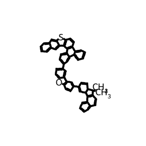 CC1(C)c2ccc3ccccc3c2C2C=C(c3ccc4oc5ccc(-c6ccc7c(c6)c6ccccc6c6ccc8sc9cc%10ccccc%10cc9c8c67)cc5c4c3)C=CC21